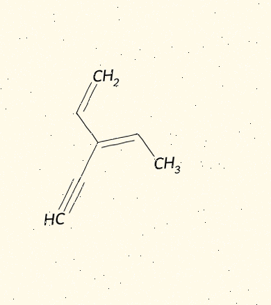 C#CC(C=C)=CC